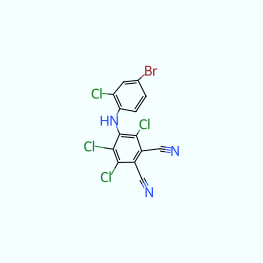 N#Cc1c(Cl)c(Cl)c(Nc2ccc(Br)cc2Cl)c(Cl)c1C#N